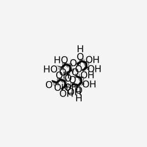 O=C[C@H](O)[C@@H](O)[C@@H](O[C@@H]1O[C@H](CO)[C@@H](O)[C@H](O[C@@H]2OC[C@@H](O)[C@H](O)[C@H]2O)[C@H]1O[C@@H]1O[C@H](CO)[C@@H](O)[C@H](O)[C@H]1O)[C@H](O)CO